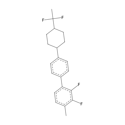 Cc1ccc(-c2ccc(C3CCC(C(C)(F)F)CC3)cc2)c(F)c1F